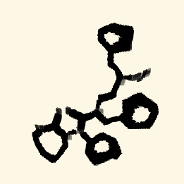 O=C(O)[C@H](CC[C@H](Cc1ccccc1)C(=O)N(c1ccccc1)[C@@H]1CCCCNC1=O)Cc1ccccc1